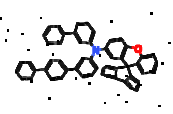 c1ccc(-c2ccc(-c3cccc(N(c4cccc(-c5ccccc5)c4)c4ccc5c(c4)C4(c6ccccc6O5)c5ccccc5-c5ccccc54)c3)cc2)cc1